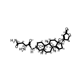 C[C@]12CC[C@H](NC(=O)[C@H](N)CC(N)=O)C[C@H]1CC[C@H]1C3=CC[C@H](C4=CC(=O)OC4)[C@@]3(C)CC[C@@H]12